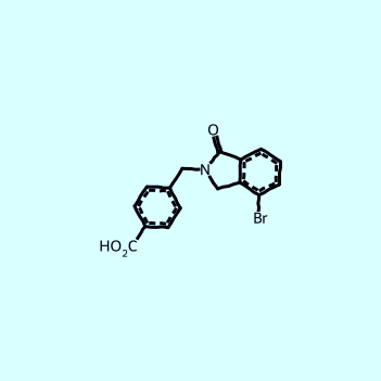 O=C(O)c1ccc(CN2Cc3c(Br)cccc3C2=O)cc1